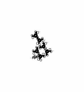 O=C([O-])c1cc(/N=N/c2cc(C(=O)[O-])cc(C(=O)[O-])c2)cc(C(=O)[O-])c1.O=C([O-])c1cc(/N=N/c2cc(C(=O)[O-])cc(C(=O)[O-])c2)cc(C(=O)[O-])c1.O=C([O-])c1cc(/N=N/c2cc(C(=O)[O-])cc(C(=O)[O-])c2)cc(C(=O)[O-])c1.[Fe+3].[Fe+3].[Fe+3].[Fe+3]